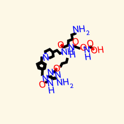 CCCCOc1nc(N)c2[nH]c(=O)n(Cc3ccc(CN4CCC(CCNC(=O)C(CCCCN)NC(=O)CONC(=O)O)CC4)cc3)c2n1